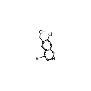 OCc1cc2c(Br)cncc2cc1Cl